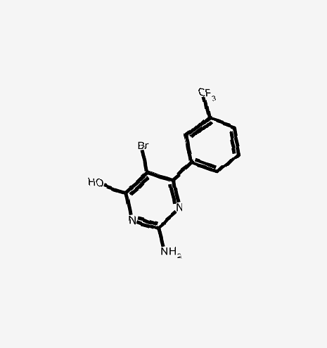 Nc1nc(O)c(Br)c(-c2cccc(C(F)(F)F)c2)n1